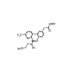 COC(=O)Cc1ccc(OC)c(-c2ccc(C(F)(F)F)cc2CN(CCOC(C)=O)C(C)=O)c1